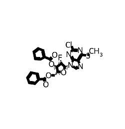 CSc1nc(Cl)nc2c1ncn2[C@@H]1O[C@H](COC(=O)c2ccccc2)[C@@H](OC(=O)c2ccccc2)[C@@H]1F